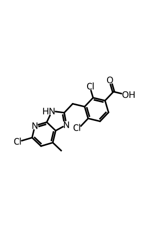 Cc1cc(Cl)nc2[nH]c(Cc3c(Cl)ccc(C(=O)O)c3Cl)nc12